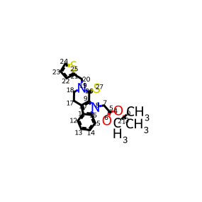 CC(C)(C)OC(=O)Cn1c2c(c3ccccc31)CCN(Cc1cccs1)C2=S